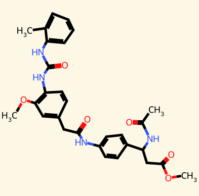 COC(=O)CC(NC(C)=O)c1ccc(NC(=O)Cc2ccc(NC(=O)Nc3ccccc3C)c(OC)c2)cc1